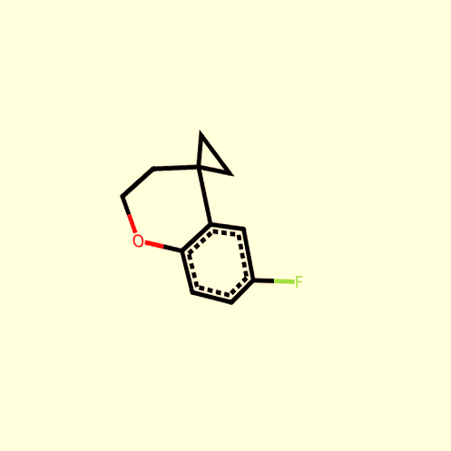 Fc1ccc2c(c1)C1(CCO2)CC1